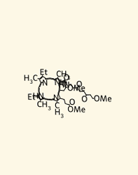 CCC1=C(C)c2cc3[nH]c(cc4nc(c(CC(=O)OC)c5[nH]c(cc1n2)c(C)c5C(=O)NCCC(=O)CCC(=O)CCOC)C(CCC(=O)OC)C4C)c(C)c3CC